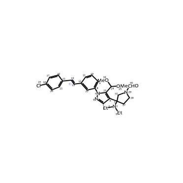 CCN(CC)C1(c2cnn(-c3cccc(/C=C/c4ccc(Cl)cc4)c3)c2C(OC)OC)CCN(C=O)C1